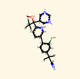 COC(c1cncnc1)(c1ccc(-c2ccc(C(C)(C)C#N)cc2F)cn1)C(C)(C)C